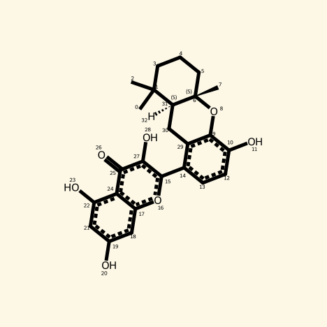 CC1(C)CCC[C@]2(C)Oc3c(O)ccc(-c4oc5cc(O)cc(O)c5c(=O)c4O)c3C[C@@H]12